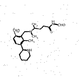 Cc1c(C2CCCCN2)ccc(C=O)c1CN(C)C(C)CCC(=O)NC=O